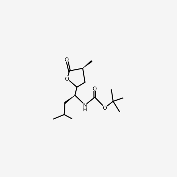 CC(C)C[C@H](NC(=O)OC(C)(C)C)C1C[C@H](C)C(=O)O1